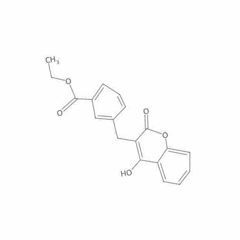 CCOC(=O)c1cccc(Cc2c(O)c3ccccc3oc2=O)c1